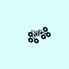 CC[Si](/C=C/[Si](c1ccccc1)(c1ccccc1)c1ccccc1)(CC)O[Si](/C=C/[Si](c1ccccc1)(c1ccccc1)c1ccccc1)(CC)CC